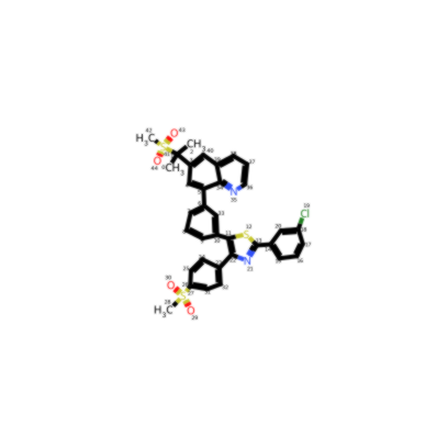 CC(C)(c1cc(-c2cccc(-c3sc(-c4cccc(Cl)c4)nc3-c3ccc(S(C)(=O)=O)cc3)c2)c2ncccc2c1)S(C)(=O)=O